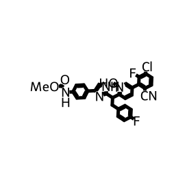 COC(=O)Nc1ccc(-c2c[nH]c(C(Cc3ccc(F)cc3)c3ccc(-c4c(C#N)ccc(Cl)c4F)c[n+]3O)n2)cc1